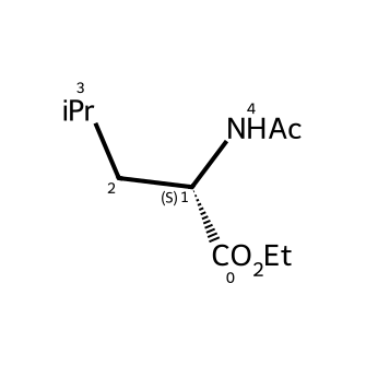 C[CH]OC(=O)[C@H](CC(C)C)NC(C)=O